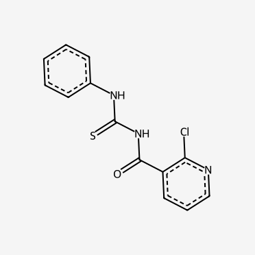 O=C(NC(=S)Nc1ccccc1)c1cccnc1Cl